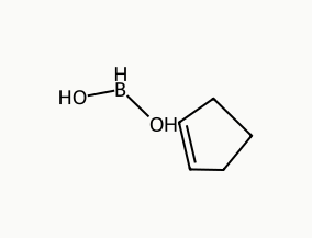 C1=CCCC1.OBO